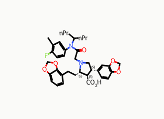 CCCC(CCC)N(C(=O)CN1C[C@H](c2ccc3c(c2)OCO3)[C@@H](C(=O)O)[C@@H]1CCc1cccc2c1OCO2)c1ccc(F)c(C)c1